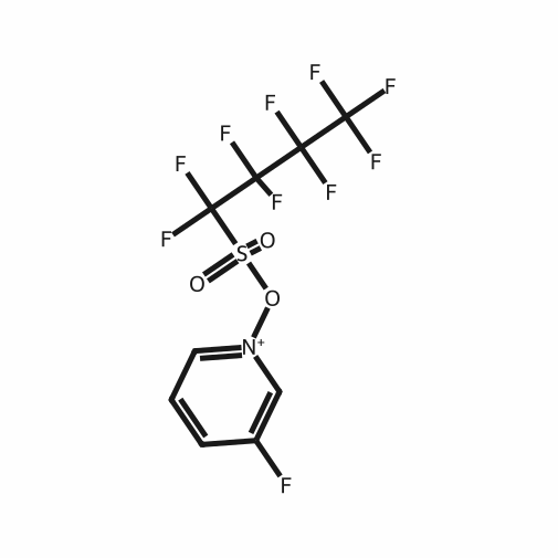 O=S(=O)(O[n+]1cccc(F)c1)C(F)(F)C(F)(F)C(F)(F)C(F)(F)F